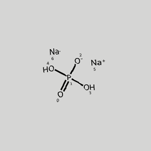 O=P([O-])(O)O.[Na+].[Na]